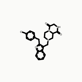 O=C1NCC(=O)N2CCN(Cc3c(Cc4ccc(Cl)cc4)oc4ccccc34)CC12